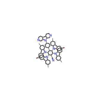 Cc1ccc2c(c1)c1cc(C)ccc1n2-c1c(C#N)c(-n2c3ccc(C)cc3c3cc(C)ccc32)c(-n2c3ccc(C)cc3c3cc(C)ccc32)c(-c2ccc(-n3c4cnccc4c4ccncc43)cc2)c1-n1c2ccc(C)cc2c2cc(C)ccc21